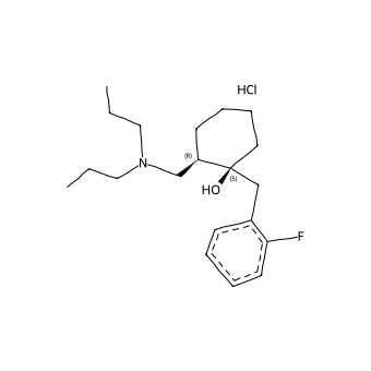 CCCN(CCC)C[C@H]1CCCC[C@]1(O)Cc1ccccc1F.Cl